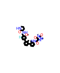 COc1cc(-c2cccc(-c3cccc(NC(=O)c4nn(C)c(=O)n(C)c4=O)c3C)c2C)cc(F)c1CN[C@@H]1CCCNC1=O